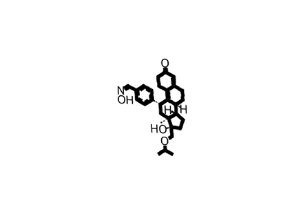 CC(C)OC[C@]1(O)CC[C@H]2[C@@H]3CCC4=CC(=O)CCC4=C3[C@@H](c3ccc(/C=N\O)cc3)C[C@@]21C